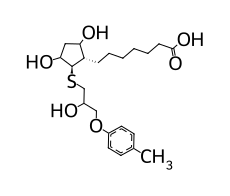 Cc1ccc(OCC(O)CS[C@H]2C(O)CC(O)[C@@H]2CCCCCCC(=O)O)cc1